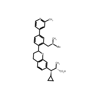 Cc1cc(-c2ccc(C3CCc4ccc([C@H](C5CC5)[C@H](C)C(=O)O)cc4O3)c(CN(C)C(C)(C)C)c2)ccn1